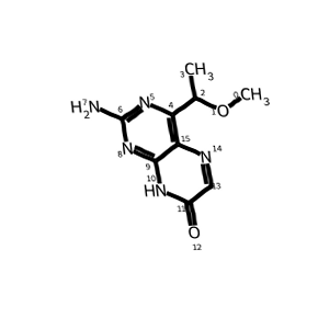 COC(C)c1nc(N)nc2[nH]c(=O)cnc12